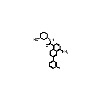 Nc1ncc(C(=O)N[C@@H]2CCC[C@H](O)C2)c2ccc(-c3cccc(F)c3)cc12